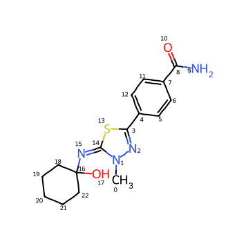 Cn1nc(-c2ccc(C(N)=O)cc2)s/c1=N/C1(O)CCCCC1